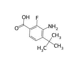 CC(C)(C)c1ccc(C(=O)O)c(F)c1N